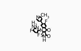 Cc1cc(-c2cc3c(cc2F)c(=O)c2c(=O)[nH]sc2n3-c2nc(N)c(F)cc2F)ccn1